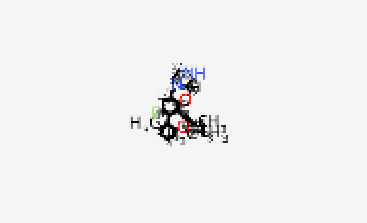 COc1cccc(C)c1-c1c(F)cc2c(c1C#C[Si](C)(C)C)OC[C@H]1CNCCN1C2